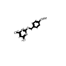 COc1ccc(COc2nc(Cl)cc(Cl)n2)cc1